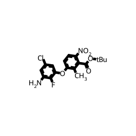 Cc1c(Oc2cc(Cl)cc(N)c2F)ccc([N+](=O)[O-])c1C(=O)OC(C)(C)C